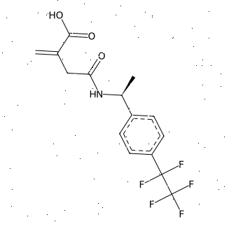 C=C(CC(=O)N[C@@H](C)c1ccc(C(F)(F)C(F)(F)F)cc1)C(=O)O